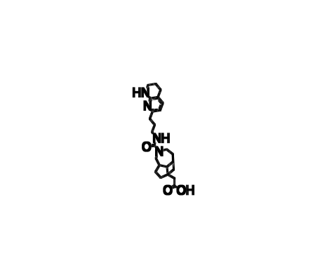 O=C(O)CC12CCC3CN(C(=O)NCCCc4ccc5c(n4)NCCC5)CC(CC31)C2